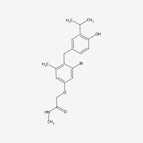 CNC(=O)COc1cc(C)c(Cc2ccc(O)c(C(C)C)c2)c(Br)c1